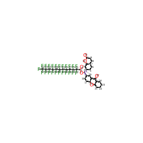 O=C(O[I+](c1ccc2ccc(=O)oc2c1)c1ccc2oc3ccccc3c(=O)c2c1)C(F)(F)C(F)(F)C(F)(F)C(F)(F)C(F)(F)C(F)(F)C(F)(F)C(F)(F)C(F)(F)C(F)(F)C(F)(F)F